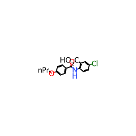 CCCOc1ccc(C(=O)Nc2ccc(Cl)cc2C(=O)O)cc1